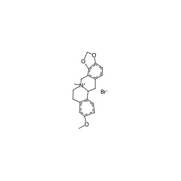 COc1ccc2c(c1)CC[N+]1(C)Cc3c(ccc4c3OCO4)CC21.[Br-]